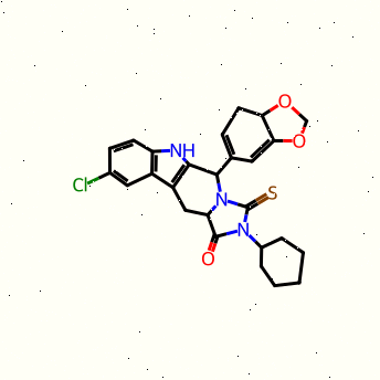 O=C1C2Cc3c([nH]c4ccc(Cl)cc34)C(C3=CCC4OCOC4=C3)N2C(=S)N1C1CCCCC1